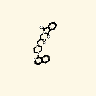 O=C1c2ccccc2C(=O)N1CC(O)CN1CCN(c2nccc3ccccc23)CC1